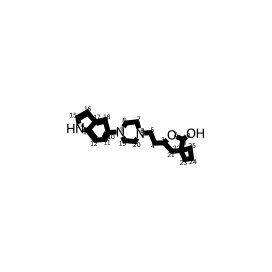 OC1OC(CCN2CCN(c3ccc4[nH]ccc4c3)CC2)CC12CCC2